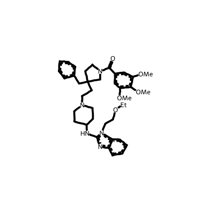 CCOCCn1c(NC2CCN(CCC3(Cc4ccccc4)CCN(C(=O)c4cc(OC)c(OC)c(OC)c4)C3)CC2)nc2ccccc21